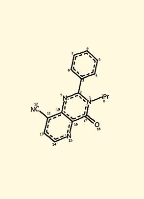 CC(C)n1c(-c2ccccc2)nc2c(C#N)ccnc2c1=O